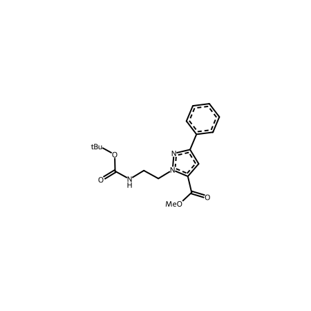 COC(=O)c1cc(-c2ccccc2)nn1CCNC(=O)OC(C)(C)C